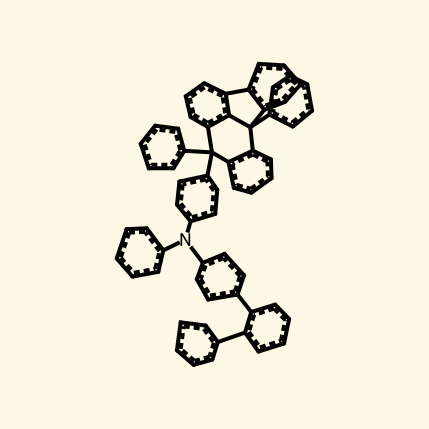 c1ccc(-c2ccccc2-c2ccc(N(c3ccccc3)c3ccc(C4(c5ccccc5)c5ccccc5C5(c6ccccc6)c6ccccc6-c6cccc4c65)cc3)cc2)cc1